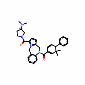 CN(C)[C@@H]1CCN(C(=O)c2ccc3n2Cc2ccccc2N(C(=O)C2=CC(C)(C)C(c4ccccc4)C=C2)C3)C1